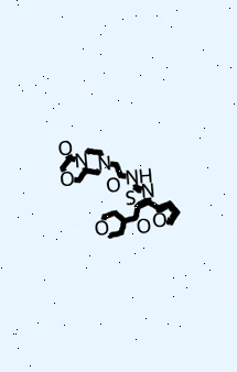 O=C(CN1CCN2C(=O)COCC2C1)Nc1nc(-c2ccco2)c(C(=O)C2CCOCC2)s1